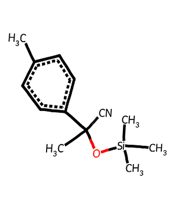 Cc1ccc(C(C)(C#N)O[Si](C)(C)C)cc1